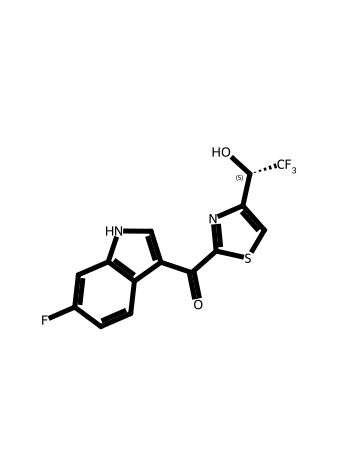 O=C(c1nc([C@H](O)C(F)(F)F)cs1)c1c[nH]c2cc(F)ccc12